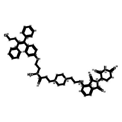 CN(CCOc1ccc(/C(=C(/CCCl)c2ccccc2)c2ccccc2)cc1)C(=O)CCN1CCN(CCNc2cccc3c2C(=O)N(C2CCC(=O)NC2=O)C3=O)CC1